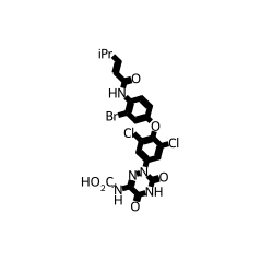 CC(C)/C=C/C(=O)Nc1ccc(Oc2c(Cl)cc(-n3nc(NC(=O)O)c(=O)[nH]c3=O)cc2Cl)cc1Br